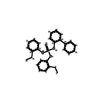 CCc1ccccc1OP(=O)(Oc1ccccc1CC)Oc1ccccc1-c1ccccc1